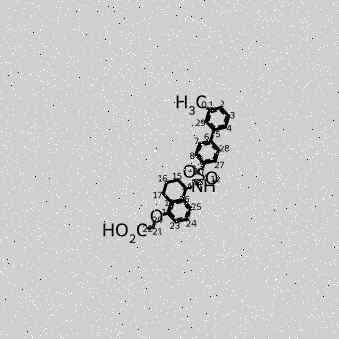 Cc1cccc(-c2ccc(S(=O)(=O)NC3CCCc4c(OCC(=O)O)cccc43)cc2)c1